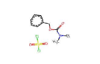 CCN(C)C(=O)OCc1ccccc1.O=S(=O)(Cl)Cl